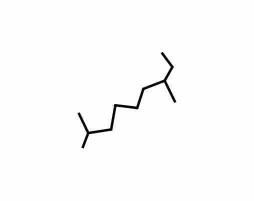 CCC(C)CC[CH]CC(C)C